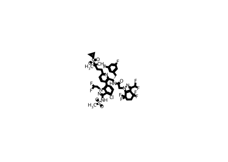 CC(C)(CCc1ccc(-c2ccc(Cl)c3c(NS(C)(=O)=O)nn(CC(F)F)c23)c([C@H](Cc2cc(F)cc(F)c2)NC(=O)Cn2nc(C(F)F)c3c2C(F)(F)CCC3(F)F)n1)S(=O)(=O)C1CC1